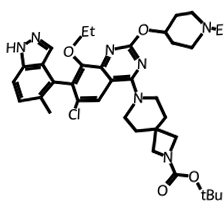 CCOc1c(-c2c(C)ccc3[nH]ncc23)c(Cl)cc2c(N3CCC4(CC3)CN(C(=O)OC(C)(C)C)C4)nc(OC3CCN(CC)CC3)nc12